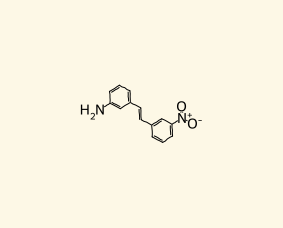 Nc1cccc(C=Cc2cccc([N+](=O)[O-])c2)c1